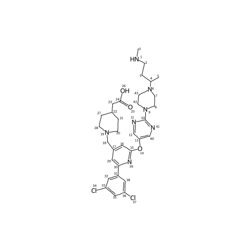 CNCCC(C)N1CCN(c2ncc(Oc3cc(CN4CCC(CC(=O)O)CC4)cc(-c4cc(Cl)cc(Cl)c4)n3)cn2)CC1